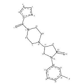 O=C(c1cscn1)N1CCN(C2CC(=O)N(c3cccc(I)c3)C2)CC1